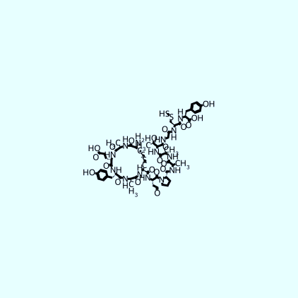 CC(NC(=O)[C@@H]1CCCN1C(=O)[C@H](CC=O)NC(=O)[C@@H]1CSSC[C@H](N)C(=O)N[C@@H](C)C(=O)N[C@@H](CCC(=O)O)C(=O)N[C@@H](Cc2ccc(O)cc2)C(=O)N[C@@H](C)C(=O)N1)C(=O)N[C@@H](C)C(=O)NC(C(=O)NCC(=O)N[C@@H](CSS)C(=O)N[C@@H](Cc1ccc(O)cc1)C(=O)O)[C@H](C)O